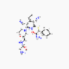 CCc1c(C#N)c(SC(C(N)=O)c2ccccc2)nc(N2CCOC(CNC(=O)CN)C2)c1C#N